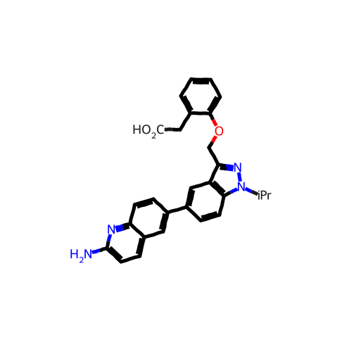 CC(C)n1nc(COc2ccccc2CC(=O)O)c2cc(-c3ccc4nc(N)ccc4c3)ccc21